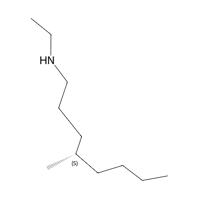 CCCC[C@H](C)CCCNCC